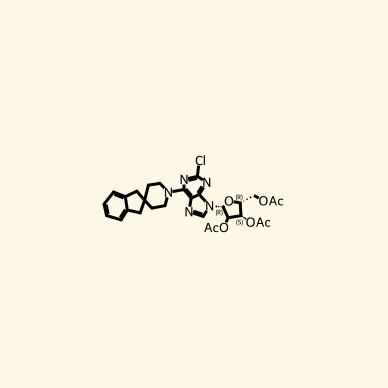 CC(=O)OC[C@H]1O[C@@H](n2cnc3c(N4CCC5(CC4)Cc4ccccc4C5)nc(Cl)nc32)C(OC(C)=O)[C@H]1OC(C)=O